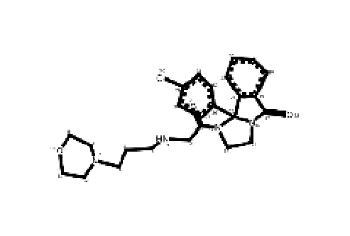 O=C(CNCCCN1CCOCC1)N1CCN2C(=O)c3ccccc3C12c1ccc(Cl)cc1